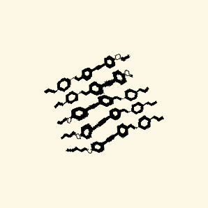 CCCCCOc1ccc(C#Cc2ccc(CC[C@H]3CC[C@H](CCC)CC3)cc2)cc1.CCCCOc1ccc(C#Cc2ccc(CC[C@H]3CC[C@H](CCC)CC3)cc2)cc1.CCCOc1ccc(C#Cc2ccc(CC[C@H]3CC[C@H](CCC)CC3)cc2)cc1.CCC[C@H]1CC[C@H](CCc2ccc(C#Cc3ccc(OC)cc3)cc2)CC1.CCC[C@H]1CC[C@H](CCc2ccc(C#Cc3ccc(OCC)cc3)cc2)CC1